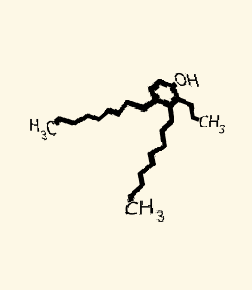 CCCCCCCCCc1ccc(O)c(CCC)c1CCCCCCCCC